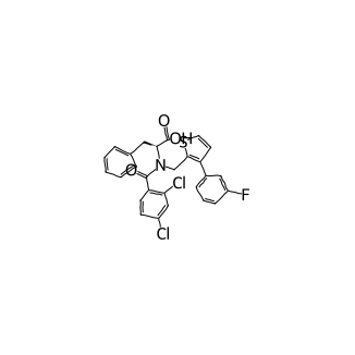 O=C(O)[C@H](Cc1ccccc1)N(Cc1sccc1-c1cccc(F)c1)C(=O)c1ccc(Cl)cc1Cl